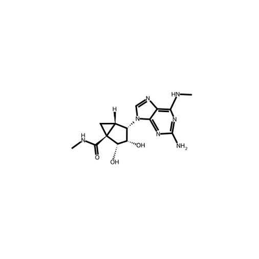 CNC(=O)[C@@]12C[C@@H]1[C@H](n1cnc3c(NC)nc(N)nc31)[C@H](O)[C@@H]2O